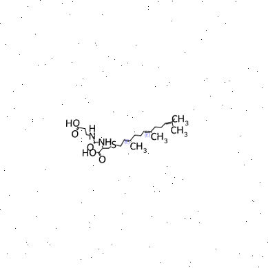 CC(C)=CCC/C(C)=C/CC/C(C)=C/CSCC(NC(=O)NCCC(=O)O)C(=O)O